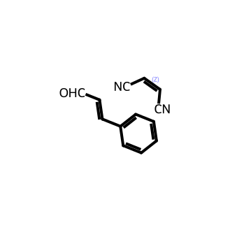 N#C/C=C\C#N.O=CC=Cc1ccccc1